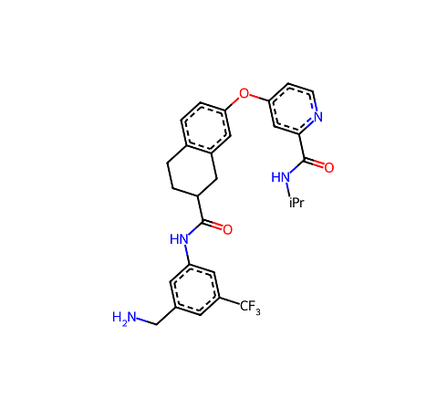 CC(C)NC(=O)c1cc(Oc2ccc3c(c2)CC(C(=O)Nc2cc(CN)cc(C(F)(F)F)c2)CC3)ccn1